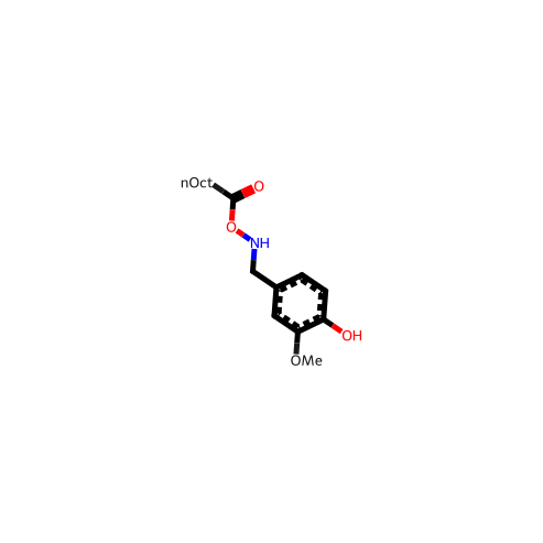 CCCCCCCCC(=O)ONCc1ccc(O)c(OC)c1